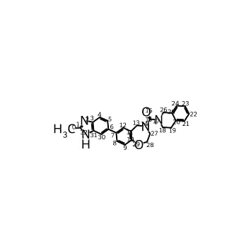 Cc1nc2ccc(-c3ccc4c(c3)CN(C(=O)N3CCc5ccccc5C3)CCO4)cc2[nH]1